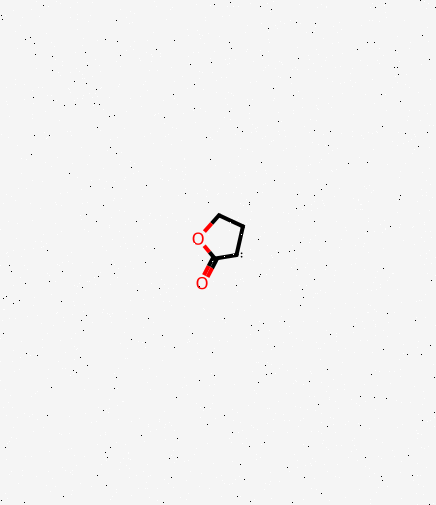 O=C1[C]CCO1